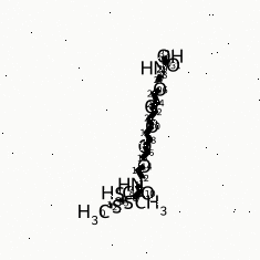 CCSC(=S)SC(C)(C)C(=O)NCCOCCOCCOCCOCCOCCNC(=O)O